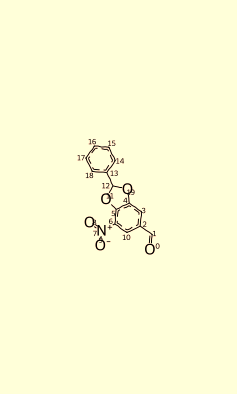 O=Cc1cc2c(c([N+](=O)[O-])c1)OC(c1ccccc1)O2